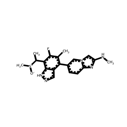 CNc1cn2cc(-c3c(C)c(F)c(C(C)[S+](C)[O-])c4[nH]ncc34)ccc2n1